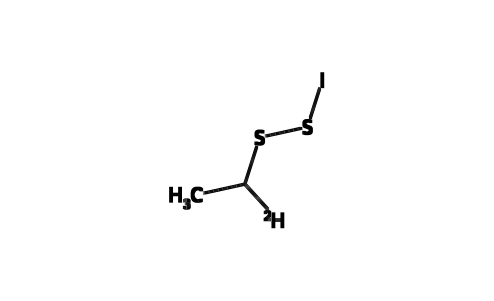 [2H]C(C)SSI